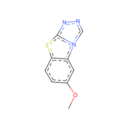 COc1ccc2sc3nncn3c2c1